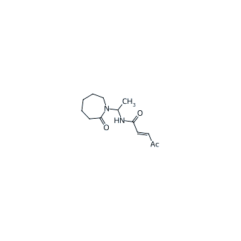 CC(=O)C=CC(=O)NC(C)N1CCCCCC1=O